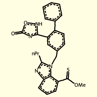 CCCc1nc2cccc(C(=S)OC)c2n1Cc1ccc(-c2ccccc2)c(-c2nc(=O)o[nH]2)c1